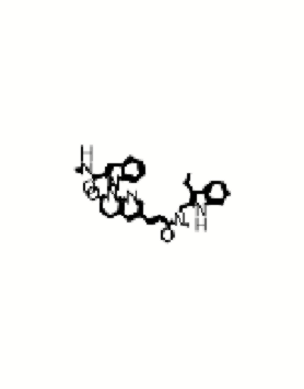 CCc1c(CN(C)C(=O)/C=C/c2cnc3c(c2)CCC(=O)N3n2c(C(=O)NC)cc3ccccc32)[nH]c2ccccc12